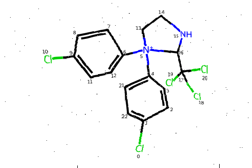 Clc1ccc([N+]2(c3ccc(Cl)cc3)CCNC2C(Cl)(Cl)Cl)cc1